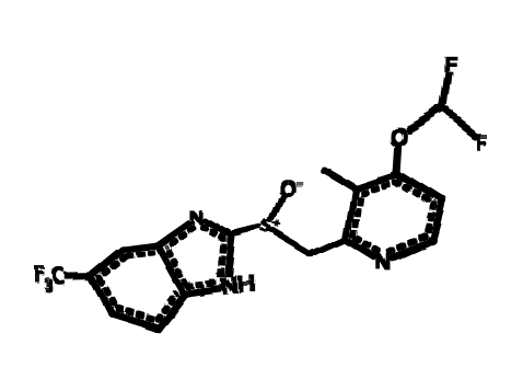 Cc1c(OC(F)F)ccnc1C[S+]([O-])c1nc2cc(C(F)(F)F)ccc2[nH]1